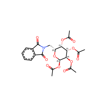 CC(=O)O[C@H]1O[C@H](CN2C(=O)c3ccccc3C2=O)[C@H](OC(C)=O)[C@H](OC(C)=O)[C@H]1OC(C)=O